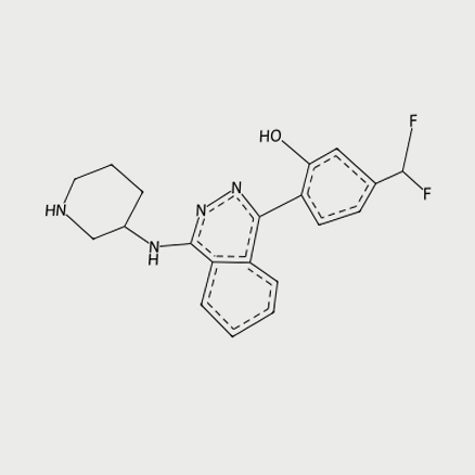 Oc1cc(C(F)F)ccc1-c1nnc(NC2CCCNC2)c2ccccc12